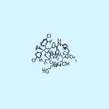 CC(C)(C)C[C@@H]1N[C@H](OC(=O)Nc2ccn(CC(C)(C)OC[C@H](O)CNCCCO)n2)[C@H](c2cccc(Cl)c2F)[C@@]1(C#N)c1ccc(Cl)cc1F